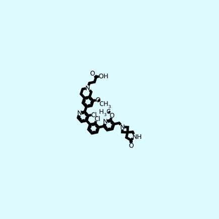 COc1cc(-c2nccc(-c3cccc(-c4ccc(CN5CC6(CNC(=O)C6)C5)c(OC)n4)c3Cl)c2Cl)cc2c1CN(CCC(=O)O)CC2